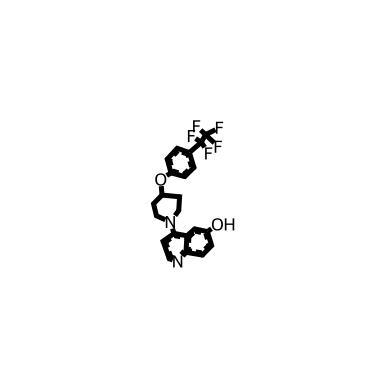 Oc1ccc2nccc(N3CCC(Oc4ccc(C(F)(F)C(F)(F)F)cc4)CC3)c2c1